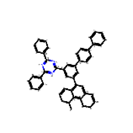 CC1CC=Cc2c(-c3cc(-c4ccc(-c5ccccc5)cc4)cc(-c4nc(-c5ccccc5)nc(-c5ccccc5)n4)c3)cc3c(c21)CCC=C3